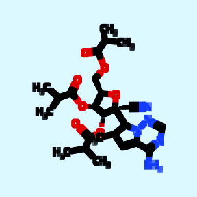 CC(C)C(=O)OC[C@H]1O[C@@](C#N)(C2C(C)C=C3C(N)=NC=NN32)[C@H](OC(=O)C(C)C)[C@@H]1OC(=O)C(C)C